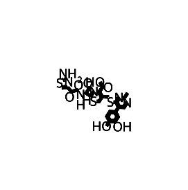 Cc1ncc(-c2ccc(O)c(O)c2)c(SCC2=C(C(=O)O)N3C(=O)[C@@H](NC(=O)C(=O)c4csc(N)n4)[C@H]3SC2)n1